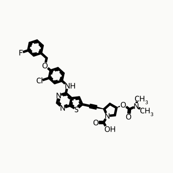 CN(C)C(=O)O[C@H]1C[C@H](C#Cc2cc3c(Nc4ccc(OCc5cccc(F)c5)c(Cl)c4)ncnc3s2)N(C(=O)O)C1